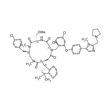 COC[C@@H]1NC(=O)[C@H](C)N(Cc2ccc(Cl)cc2Oc2ccc(-c3cnc(CN4CCCC4)n3C)cc2)C(=O)C[C@@H]([C@H]2CC(C)(C)c3ccccc32)C(=O)N(C)C[C@@H](Cc2ccc(Cl)cc2)N(C)C1=O